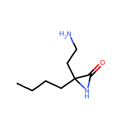 CCCCC1(CCN)NC1=O